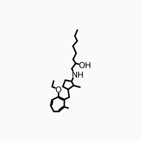 CCCCCCC(O)CNC1CCC(CC2=C(OCC)C=CCC=C2C)C1C